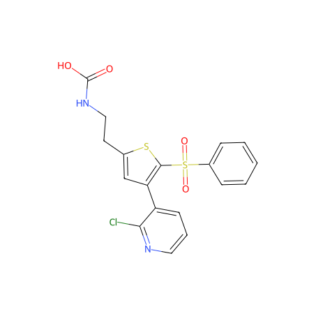 O=C(O)NCCc1cc(-c2cccnc2Cl)c(S(=O)(=O)c2ccccc2)s1